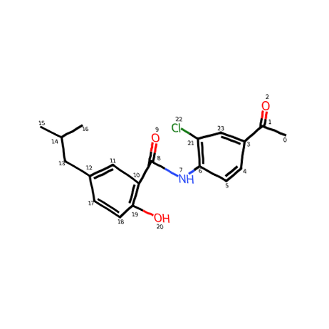 CC(=O)c1ccc(NC(=O)c2cc(CC(C)C)ccc2O)c(Cl)c1